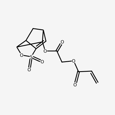 C=CC(=O)OCC(=O)OC1C2C=C3C(C2)C1OS3(=O)=O